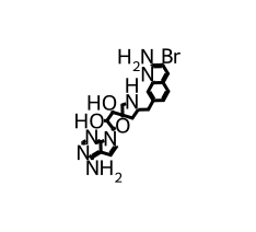 Nc1nc2cc(CC3CC4(CN3)OC(n3ccc5c(N)ncnc53)C(O)C4O)ccc2cc1Br